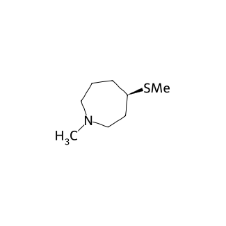 CS[C@@H]1CCCN(C)CC1